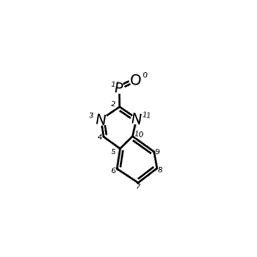 O=Pc1ncc2ccccc2n1